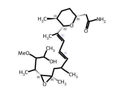 COC(C(C)O)C(C)[C@H]1O[C@]1(C)CC(C)/C=C/C=C(\C)[C@H]1O[C@@H](CC(N)=O)CC[C@@H]1C